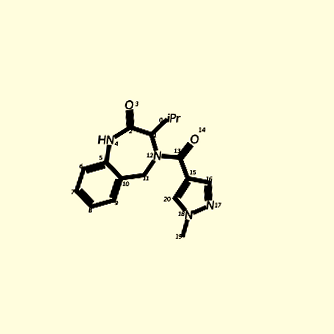 CC(C)C1C(=O)Nc2ccccc2CN1C(=O)c1cnn(C)c1